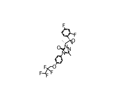 Cc1nn([C@H](C)[C@@]2(c3ccc(F)cc3F)CO2)c(=O)n1-c1ccc(OCC(F)(F)C(F)F)cc1